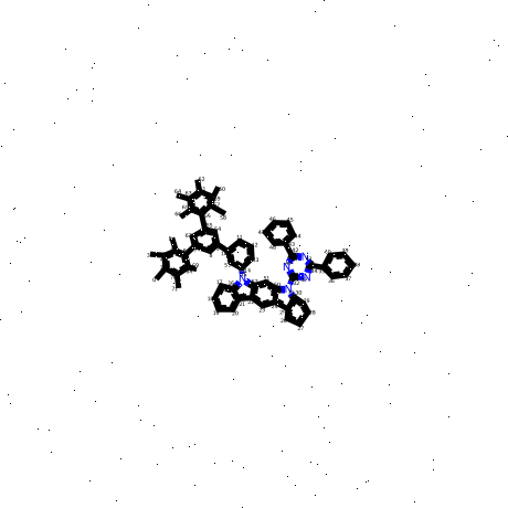 Cc1c(C)c(C)c(-c2cc(-c3cccc(-n4c5ccccc5c5cc6c7ccccc7n(-c7nc(-c8ccccc8)nc(-c8ccccc8)n7)c6cc54)c3)cc(-c3c(C)c(C)c(C)c(C)c3C)c2)c(C)c1C